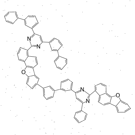 c1ccc(-c2cccc(-c3cc(-c4cccc(-c5ccccc5)c4)nc(-c4cccc5c4ccc4c6cc(-c7cccc(-c8cccc(-c9cc(-c%10ccccc%10)nc(-c%10cccc%11c%10ccc%10c%12ccccc%12oc%11%10)n9)c8)c7)ccc6oc54)n3)c2)cc1